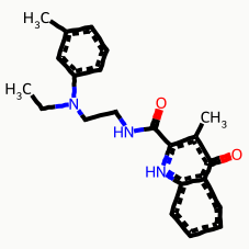 CCN(CCNC(=O)c1[nH]c2ccccc2c(=O)c1C)c1cccc(C)c1